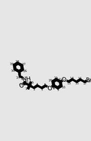 CC(C)(CCCCOc1ccc(OCCCCCBr)cc1)C(=O)NCc1ccccc1